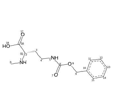 CN[C@@H](CCNC(=O)OCc1ccccc1)C(=O)O